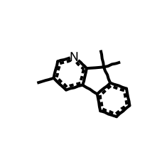 Cc1cnc2c(c1)-c1ccccc1C2(C)C